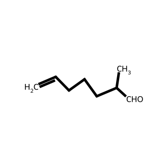 C=CCCCC(C)C=O